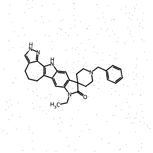 CCN1C(=O)C2(CCN(Cc3ccccc3)CC2)c2cc3[nH]c4c(c3cc21)CCCc1c[nH]nc1-4